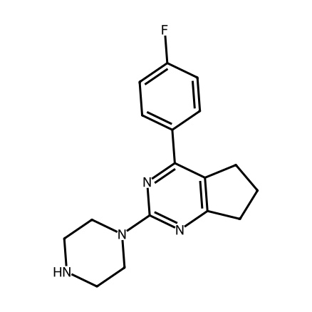 Fc1ccc(-c2nc(N3CCNCC3)nc3c2CCC3)cc1